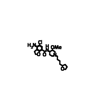 COC1CN(CCCCC2CCCO2)CCC1NC(=O)c1cc(Cl)c(N)c2c1OCC2